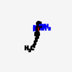 CCCCCCCCc1ccc(-c2nnc([C@@H]3CCCN3C(=N)N)o2)cc1